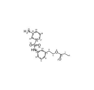 CCC(=O)OCCc1cccc(NS(=O)(=O)c2cccc(N)c2)c1